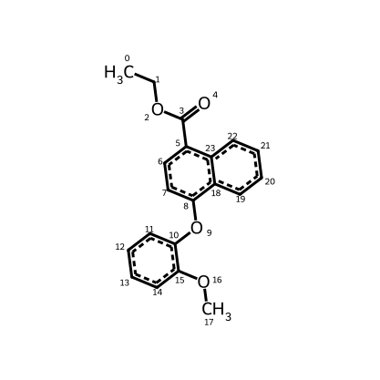 CCOC(=O)c1ccc(Oc2ccccc2OC)c2ccccc12